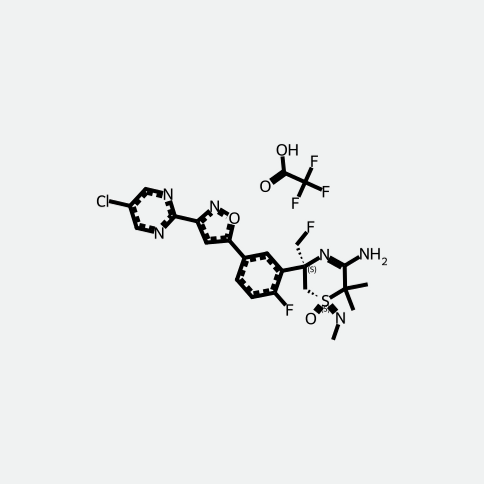 CN=[S@]1(=O)C[C@@](CF)(c2cc(-c3cc(-c4ncc(Cl)cn4)no3)ccc2F)N=C(N)C1(C)C.O=C(O)C(F)(F)F